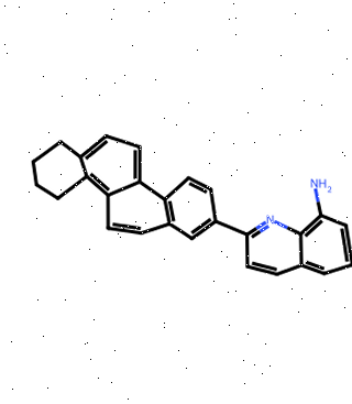 Nc1cccc2ccc(-c3ccc4c(ccc5c6c(ccc54)CCCC6)c3)nc12